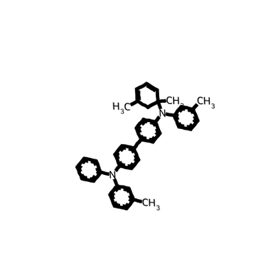 CC1=CC=CC(C)(N(c2ccc(-c3ccc(N(c4ccccc4)c4cccc(C)c4)cc3)cc2)c2cccc(C)c2)C1